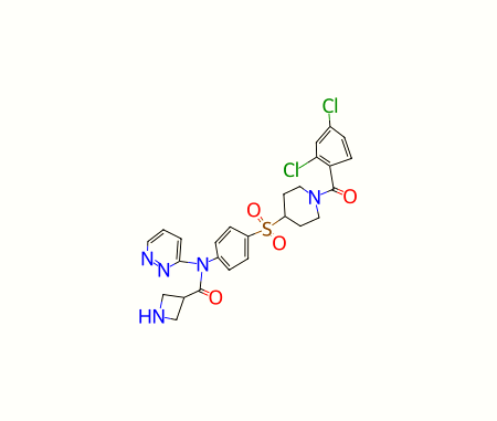 O=C(c1ccc(Cl)cc1Cl)N1CCC(S(=O)(=O)c2ccc(N(C(=O)C3CNC3)c3cccnn3)cc2)CC1